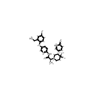 C[C@@H](C(=O)Nc1ccc(Oc2ccc(F)cc2CO)cn1)N1CCC(F)(F)[C@@H](c2ccc(=O)[nH]c2)C1